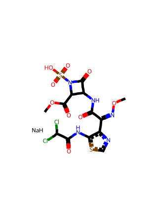 CO/N=C(\C(=O)NC1C(=O)N(S(=O)(=O)O)C1C(=O)OC)c1ncsc1NC(=O)C(Cl)Cl.[NaH]